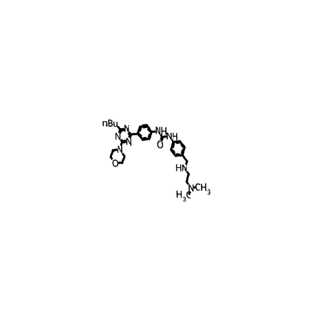 CCCCc1nc(-c2ccc(NC(=O)Nc3ccc(CNCCN(C)C)cc3)cc2)nc(N2CCOCC2)n1